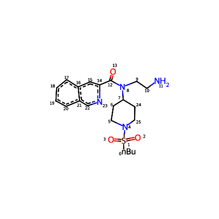 CCCCS(=O)(=O)N1CCC(N(CCN)C(=O)c2cc3ccccc3cn2)CC1